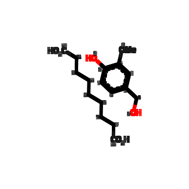 COc1cc(CO)ccc1O.O=C(O)CCCCCCCC(=O)O